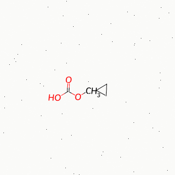 C1CC1.COC(=O)O